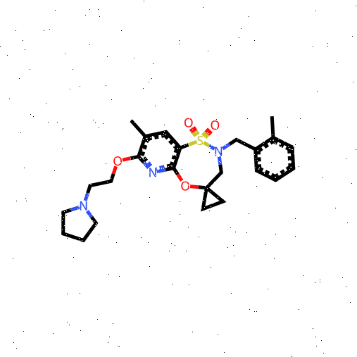 Cc1ccccc1CN1CC2(CC2)Oc2nc(OCCN3CCCC3)c(C)cc2S1(=O)=O